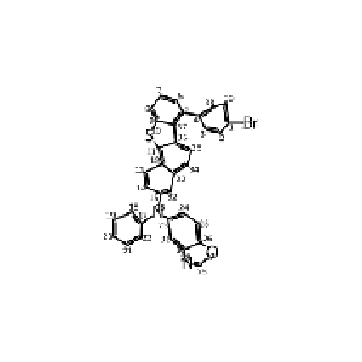 Brc1ccc(-c2cccc3sc4c5ccc(N(c6ccccc6)c6ccc7ocnc7c6)cc5ccc4c23)cc1